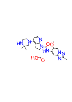 COc1cn2nc(C)nc2cc1NC(=O)N1CCc2c(N3CCNC(C)(C)C3)ccnc21.O=CO